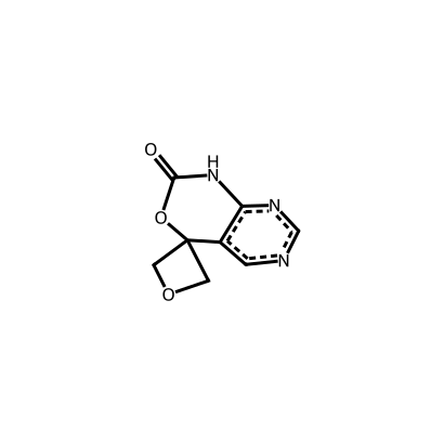 O=C1Nc2ncncc2C2(COC2)O1